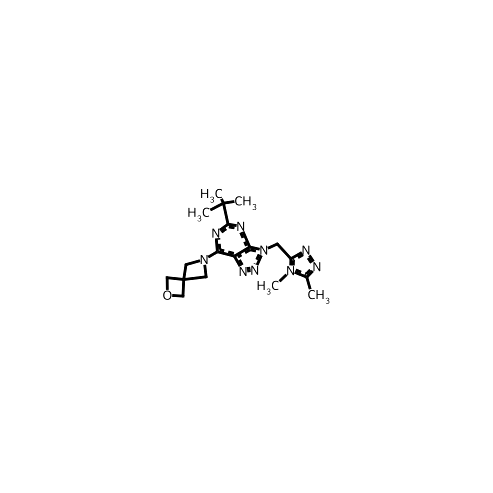 Cc1nnc(Cn2nnc3c(N4CC5(COC5)C4)nc(C(C)(C)C)nc32)n1C